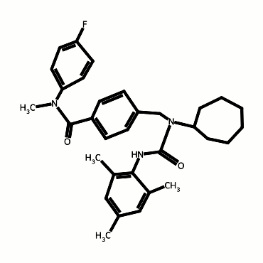 Cc1cc(C)c(NC(=O)N(Cc2ccc(C(=O)N(C)c3ccc(F)cc3)cc2)C2CCCCCC2)c(C)c1